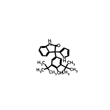 CC(C)(C)c1cc(C2(c3ccc[nH]3)C(=O)Nc3ccccc32)cc(C(C)(C)C)c1O